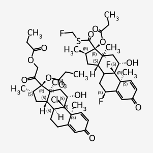 CCC(=O)OCC(=O)[C@@]1(OC(=O)CC)[C@@H](C)C[C@H]2[C@@H]3CCC4=CC(=O)C=C[C@]4(C)[C@@]3(Cl)[C@@H](O)C[C@@]21C.CCC(=O)O[C@]1(C(=O)SCF)[C@H](C)C[C@H]2C3C[C@H](F)C4=CC(=O)C=C[C@]4(C)[C@@]3(F)[C@@H](O)C[C@@]21C